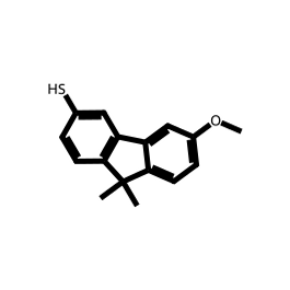 COc1ccc2c(c1)-c1cc(S)ccc1C2(C)C